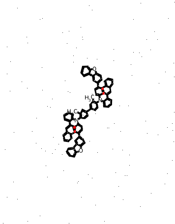 Cc1cc(-c2ccc(N(c3ccc(-c4ccc5oc6ccccc6c5c4)cc3)c3ccccc3-c3ccc4ccccc4c3)c(C)c2)ccc1N(c1ccc(-c2ccc3oc4ccccc4c3c2)cc1)c1ccccc1-c1ccc2ccccc2c1